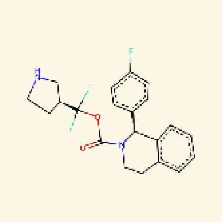 O=C(OC(F)(F)[C@H]1CCNC1)N1CCc2ccccc2[C@@H]1c1ccc(F)cc1